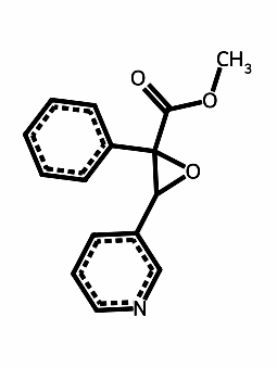 COC(=O)C1(c2ccccc2)OC1c1cccnc1